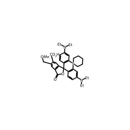 CCN(CC)c1ccc2c(c1)[Si]1(CCCCC1)c1cc(N(CC)CC)ccc1C21OC(=O)c2cc(COC)c(C(=O)O)cc21